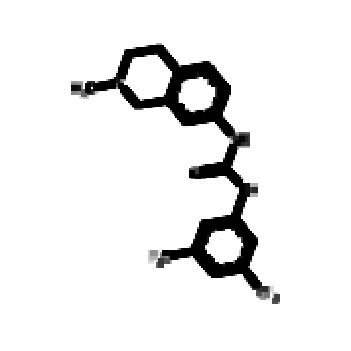 CN1CCc2ccc(NC(=O)Nc3cc(C(F)(F)F)cc(C(F)(F)F)c3)cc2C1